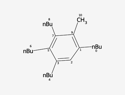 CCCCc1cc(CCCC)c(CCCC)c(CCCC)c1C